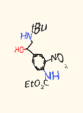 CCOC(=O)Nc1ccc(C(O)CNC(C)(C)C)cc1[N+](=O)[O-]